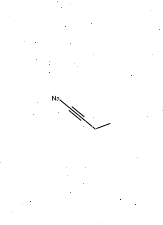 CCC#[C][Na]